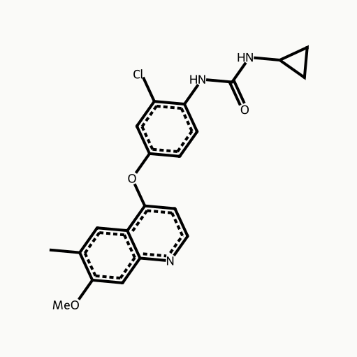 COc1cc2nccc(Oc3ccc(NC(=O)NC4CC4)c(Cl)c3)c2cc1C